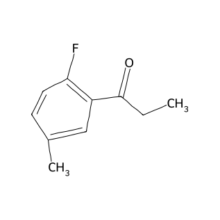 CCC(=O)c1cc(C)ccc1F